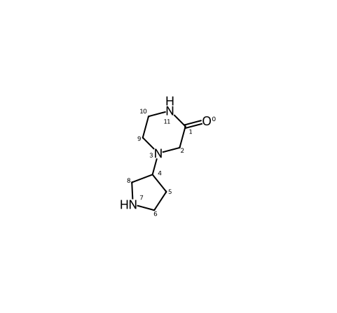 O=C1CN(C2CCNC2)CCN1